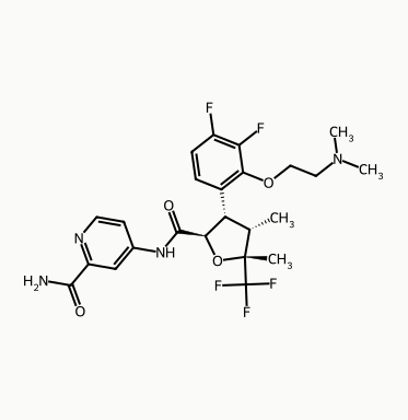 C[C@H]1[C@@H](c2ccc(F)c(F)c2OCCN(C)C)[C@H](C(=O)Nc2ccnc(C(N)=O)c2)O[C@@]1(C)C(F)(F)F